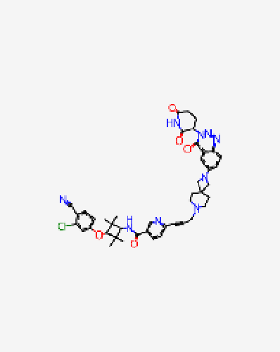 CC1(C)C(NC(=O)c2ccc(C#CCN3CCC4(CC3)CN(c3ccc5nnn(C6CCC(=O)NC6=O)c(=O)c5c3)C4)nc2)C(C)(C)C1Oc1ccc(C#N)c(Cl)c1